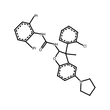 CC(C)c1cccc(C(C)C)c1NC(=O)NC1Oc2ccc(N3CCCC3)cc2C1(C)c1ccccc1Cl